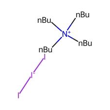 CCCC[N+](CCCC)(CCCC)CCCC.I[I-]I